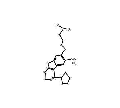 COc1cc2c(cc1OCCCN(C)C)[nH]c1ccnc(C3CCCC3)c12.Cl